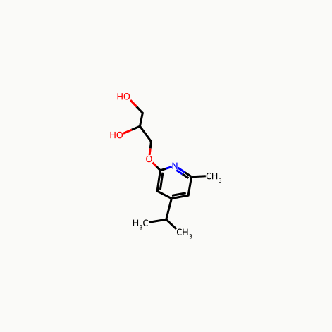 Cc1cc(C(C)C)cc(OCC(O)CO)n1